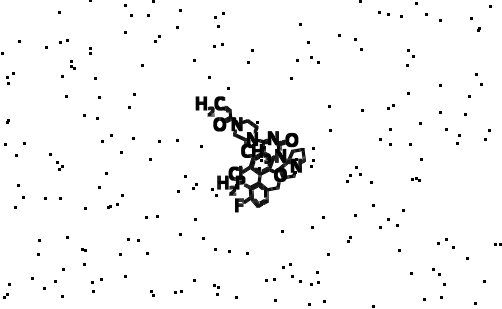 C=CC(=O)N1CCN(c2nc(=O)n(C34CCCN3CCC4)c3c4c(c(Cl)cc23)-c2c(ccc(F)c2P)CO4)[C@@H](C)C1